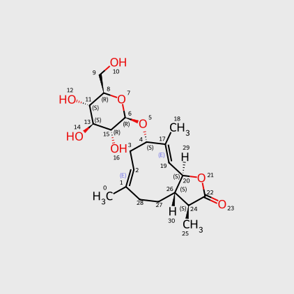 C/C1=C\C[C@H](O[C@@H]2O[C@H](CO)[C@@H](O)[C@H](O)[C@H]2O)/C(C)=C/[C@H]2OC(=O)[C@@H](C)[C@@H]2CC1